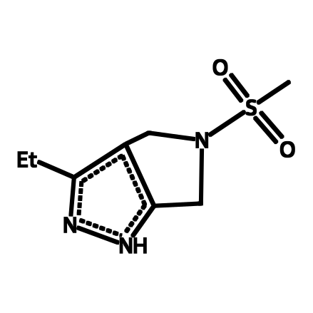 CCc1n[nH]c2c1CN(S(C)(=O)=O)C2